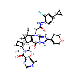 Cc1ncnc(C(=O)N2CC[C@]3(c4c(n(CC(=O)Nc5ccc(C6CC6)cc5F)c5nc(C6=CCOCC6)nn5c4=O)[C@H]4C[C@H]43)[C@@H]3CC[C@@H]32)c1O